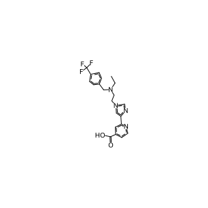 CCN(CCn1cnc(-c2cc(C(=O)O)ccn2)c1)Cc1ccc(C(F)(F)F)cc1